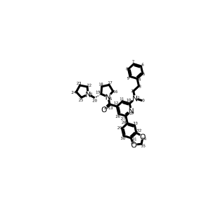 CN(CCc1ccccc1)c1cc(C(=O)N2CCC[C@H]2CN2CCCC2)cc(-c2ccc3c(c2)OCO3)n1